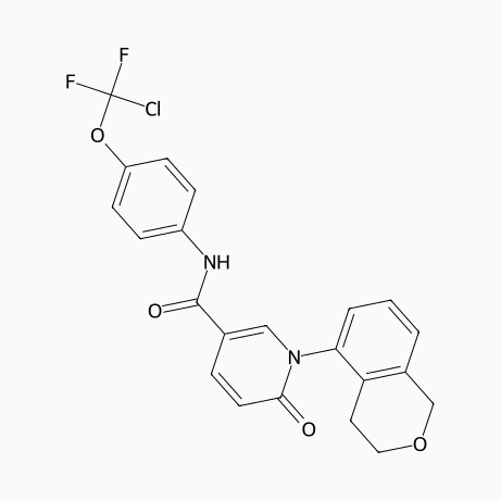 O=C(Nc1ccc(OC(F)(F)Cl)cc1)c1ccc(=O)n(-c2cccc3c2CCOC3)c1